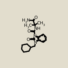 CC(C)(NC(=O)n1c(=O)n(CC2CCCCC2)c2ccccc21)C(N)=O